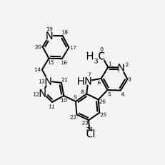 Cc1nccc2c1[nH]c1c(-c3cnn(Cc4cccnc4)c3)cc(Cl)cc12